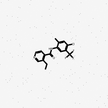 CCc1cnccc1C(=O)Nc1cc(C(F)(F)F)c(Cl)cc1C